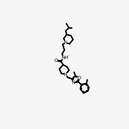 Cc1ccccc1-c1nc(CN2CCC(C(=O)NCCCN3CCCC(CC(C)C)C3)CC2)c(C)o1